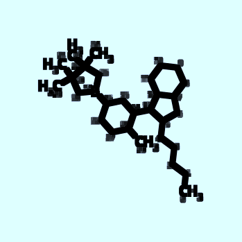 CCCCCC1CC2CCCCC2C1C1CC(B2CC(C)(C)C(C)(C)C2)CCC1C